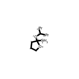 CC(C)C(OC1([SiH3])CCCO1)C(C)C